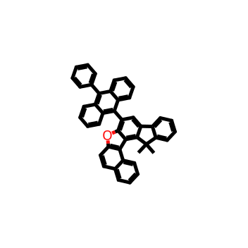 CC1(C)c2ccccc2-c2cc(-c3c4ccccc4c(-c4ccccc4)c4ccccc34)c3oc4ccc5ccccc5c4c3c21